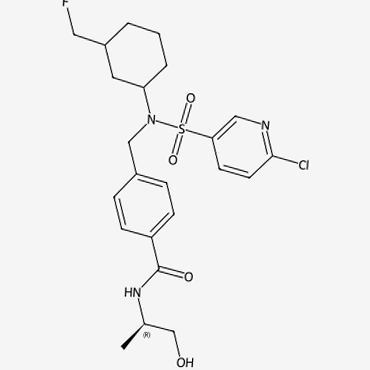 C[C@H](CO)NC(=O)c1ccc(CN(C2CCCC(CF)C2)S(=O)(=O)c2ccc(Cl)nc2)cc1